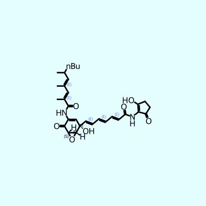 CCCCC(C)/C=C(C)/C=C(\C)C(=O)NC1=C[C@@](O)(/C=C/C=C/C=C/C(=O)NC2=C(O)CCC2=O)[C@@H]2O[C@@H]2C1=O